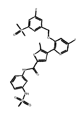 Cc1sc(C(=O)Nc2cccc(NS(C)(=O)=O)c2)cc1-c1ncc(F)cc1OCc1cc(F)cc(P(C)(C)=O)c1